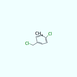 C.ClCc1ccc(Cl)cc1